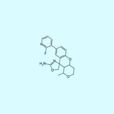 CC1OCCC2Oc3ccc(-c4cccnc4F)cc3C3(COC(N)=N3)C12